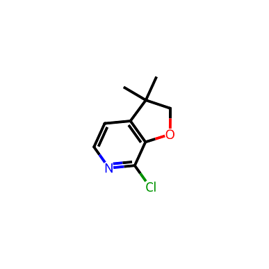 CC1(C)COc2c1ccnc2Cl